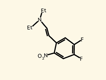 CCN(C=Cc1cc(F)c(F)cc1[N+](=O)[O-])CC